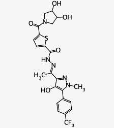 C/C(=N\NC(=O)c1ccc(C(=O)N2CC(O)C(O)C2)s1)c1nn(C)c(-c2ccc(C(F)(F)F)cc2)c1O